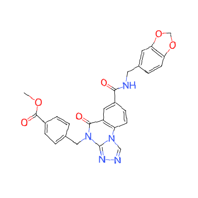 COC(=O)c1ccc(Cn2c(=O)c3cc(C(=O)NCc4ccc5c(c4)OCO5)ccc3n3cnnc23)cc1